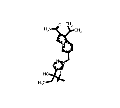 CCC(O)(c1cn(Cc2ccc3c(C(C)C)c(C(N)=O)cn3c2)nn1)C(F)(F)F